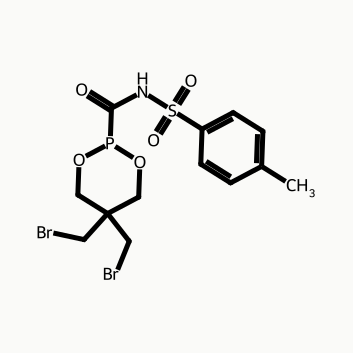 Cc1ccc(S(=O)(=O)NC(=O)P2OCC(CBr)(CBr)CO2)cc1